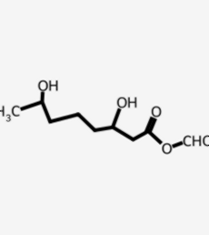 CC(O)CCCC(O)CC(=O)OC=O